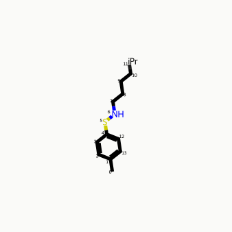 Cc1ccc(SNCCCCC(C)C)cc1